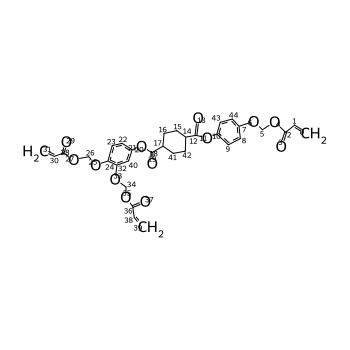 C=CC(=O)OCOc1ccc(OC(=O)C2CCC(C(=O)Oc3ccc(OCOC(=O)C=C)c(OCOC(=O)C=C)c3)CC2)cc1